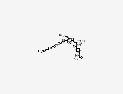 CCCCC(=O)NCC1CCC(C(=O)NC(CCC(=O)NC(CCC(=O)O)C(=O)NCCCOCCOCCOCCCN)C(=O)O)CC1